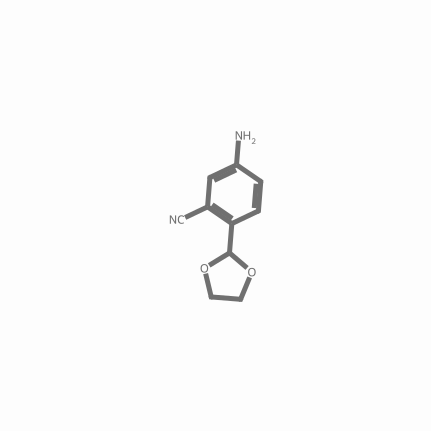 N#Cc1cc(N)ccc1C1OCCO1